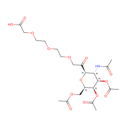 CC(=O)N[C@@H]1[C@@H](OC(C)=O)[C@@H](OC(C)=O)[C@@H](COC(C)=O)O[C@H]1C(=O)COCCOCCOCC(=O)O